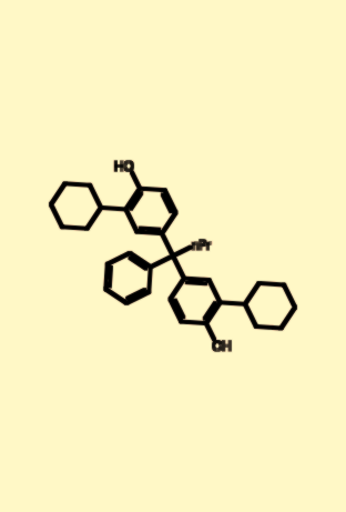 CCCC(c1ccccc1)(c1ccc(O)c(C2CCCCC2)c1)c1ccc(O)c(C2CCCCC2)c1